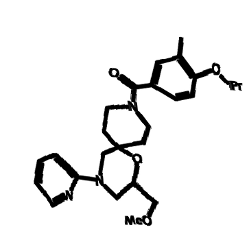 COCC1CN(c2ccccn2)CC2(CCN(C(=O)c3ccc(OC(C)C)c(C)c3)CC2)O1